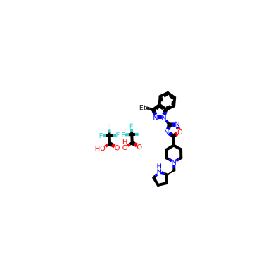 CCc1nn(-c2noc(C3CCN(C[C@H]4CCCN4)CC3)n2)c2ccccc12.O=C(O)C(F)(F)F.O=C(O)C(F)(F)F